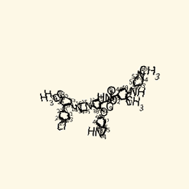 Cc1cc(S(=O)(=O)NC(=O)c2ccc(N3CCN(CC4=C(c5ccc(Cl)cc5)CC(C)(C)CC4)CC3)cc2Oc2ccc3[nH]ccc3c2)ccc1NC1CCN(C)CC1